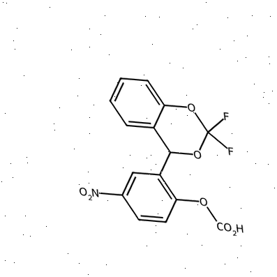 O=C(O)Oc1ccc([N+](=O)[O-])cc1C1OC(F)(F)Oc2ccccc21